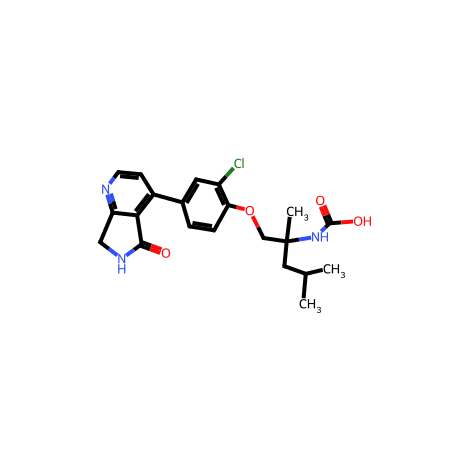 CC(C)CC(C)(COc1ccc(-c2ccnc3c2C(=O)NC3)cc1Cl)NC(=O)O